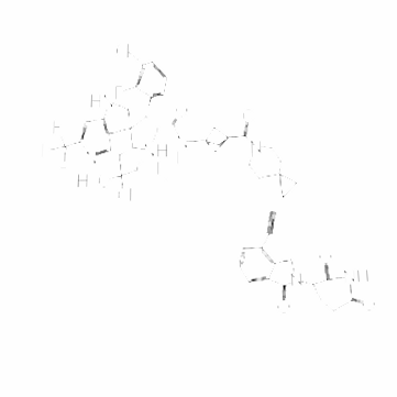 CC(C)(C)C[C@@H]1N[C@@H](C(=O)NC23CC(C(=O)N4CCC5(CC4)C[C@@H]5C#Cc4cccc5c4CN(C4CCC(=O)NC4=O)C5=O)(C2)C3)[C@H](c2cccc(Cl)c2F)[C@]12CNc1cc(C(F)(F)F)ncc12